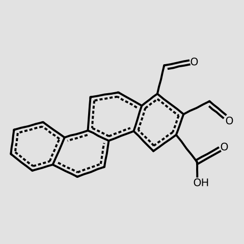 O=Cc1c(C(=O)O)cc2c(ccc3c4ccccc4ccc23)c1C=O